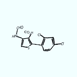 O=CNc1csc(-c2ccc(Cl)cc2Cl)c1C(=O)O